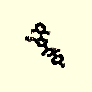 Cn1cc(C(=O)NS(=O)(=O)c2ccc(Cl)cc2)nc1-c1c(F)cccc1F